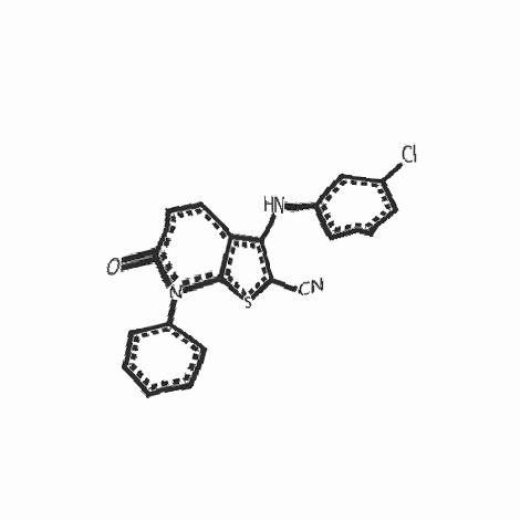 N#Cc1sc2c(ccc(=O)n2-c2ccccc2)c1Nc1cccc(Cl)c1